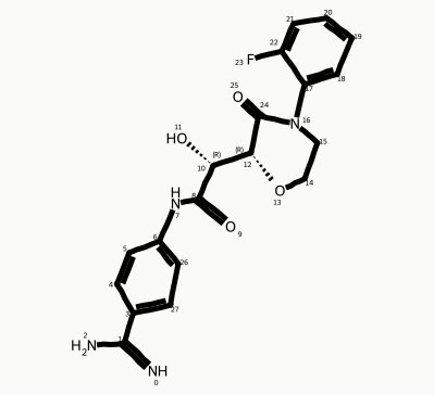 N=C(N)c1ccc(NC(=O)[C@H](O)[C@H]2OCCN(c3ccccc3F)C2=O)cc1